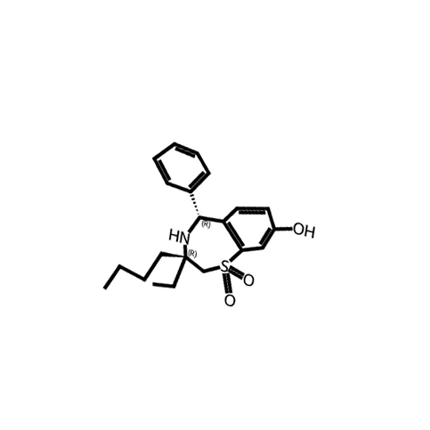 CCCC[C@]1(CC)CS(=O)(=O)c2cc(O)ccc2[C@@H](c2ccccc2)N1